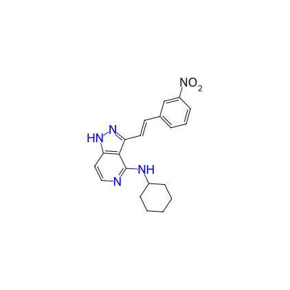 O=[N+]([O-])c1cccc(/C=C/c2n[nH]c3ccnc(NC4CCCCC4)c23)c1